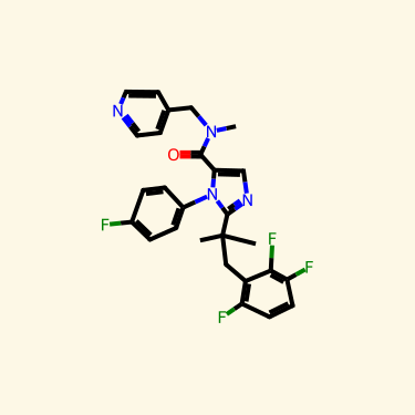 CN(Cc1ccncc1)C(=O)c1cnc(C(C)(C)Cc2c(F)ccc(F)c2F)n1-c1ccc(F)cc1